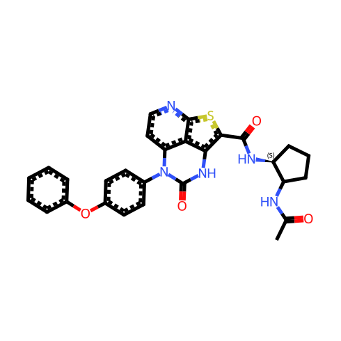 CC(=O)NC1CCC[C@@H]1NC(=O)c1sc2nccc3c2c1NC(=O)N3c1ccc(Oc2ccccc2)cc1